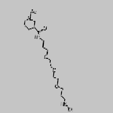 CCNCCCOCCOCCOCCCNC(=O)C1CCCN(C(C)=O)C1